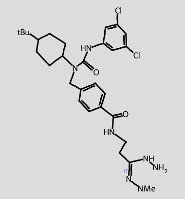 CN/N=C(/CCNC(=O)c1ccc(CN(C(=O)Nc2cc(Cl)cc(Cl)c2)C2CCC(C(C)(C)C)CC2)cc1)NN